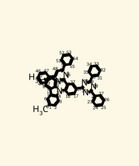 Cc1ccc2c(c1)c1cc(C)ccc1n2-c1ccc(-c2nc(-c3ccccc3)nc(-c3ccccc3)n2)cc1-c1nc(-c2ccccc2)cc(-c2ccccc2)n1